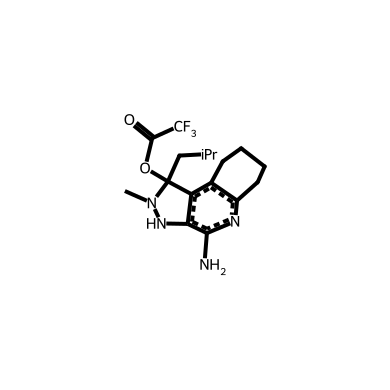 CC(C)CC1(OC(=O)C(F)(F)F)c2c3c(nc(N)c2NN1C)CCCC3